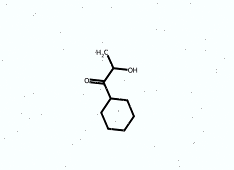 [CH2]C(O)C(=O)C1CCCCC1